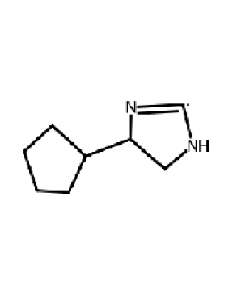 [C]1=NC(C2CCCC2)CN1